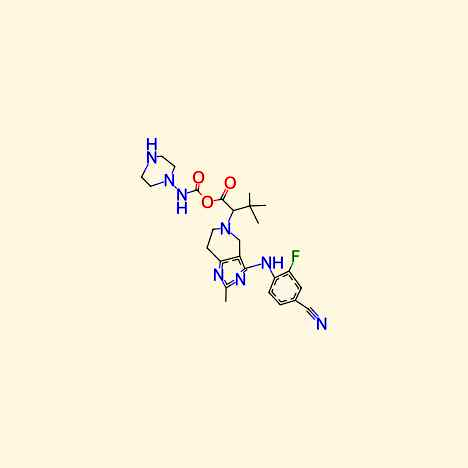 Cc1nc2c(c(Nc3ccc(C#N)cc3F)n1)CN(C(C(=O)OC(=O)NN1CCNCC1)C(C)(C)C)CC2